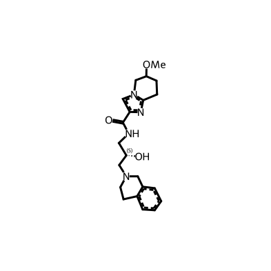 COC1CCc2nc(C(=O)NC[C@H](O)CN3CCc4ccccc4C3)cn2C1